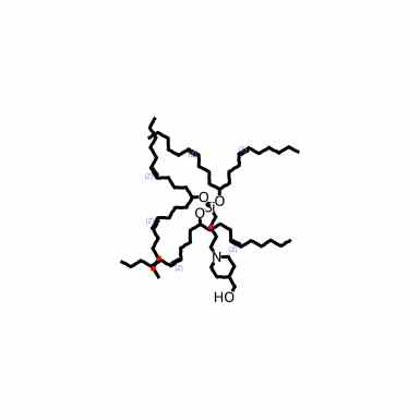 CCCCC/C=C\CCCC(CCC/C=C\CCCCC)O[Si](CCCCN1CCC(CO)CC1)(OC(CCC/C=C\CCCCC)CCC/C=C\CCCCC)OC(CCC/C=C\CCCCC)CCC/C=C\CCCCC